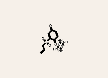 C=CCS(=O)(=O)C1=CC(=O)C=CC1=O.N=[N+]=N.N=[N+]=N